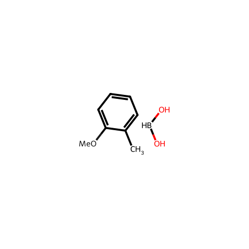 COc1ccccc1C.OBO